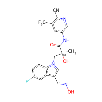 C[C@](O)(Cn1cc(C=NO)c2cc(F)ccc21)C(=O)Nc1cnc(C#N)c(C(F)(F)F)c1